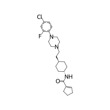 O=C(N[C@H]1CC[C@H](CCN2CCN(c3ccc(Cl)cc3F)CC2)CC1)C1=CCCC1